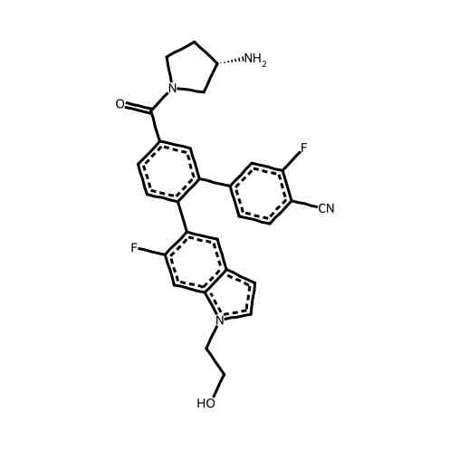 N#Cc1ccc(-c2cc(C(=O)N3CC[C@H](N)C3)ccc2-c2cc3ccn(CCO)c3cc2F)cc1F